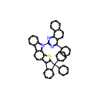 c1ccc(-c2nc(-n3c4ccccc4c4ccc5c6c(sc5c43)C(c3ccccc3)(c3ccccc3)c3ccccc3-6)nc3c2ccc2ccccc23)cc1